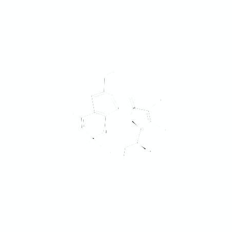 CCOc1ccc2c(c1)C(C)=CC(C)(C)N2.O=C1O[C@H]([C@@H](O)CO)C(O)=C1O